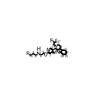 Cc1cc(OCCNCCCF)ncc1[C@@H]1c2[nH]c3ccccc3c2C[C@@H](C)N1CC(F)F